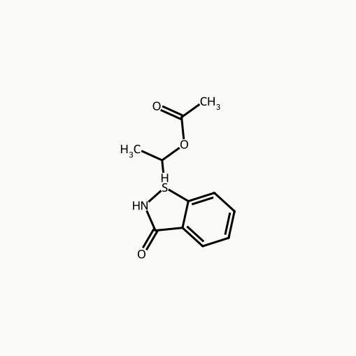 CC(=O)OC(C)[SH]1NC(=O)c2ccccc21